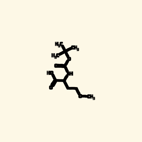 COCCC(NC(=O)OC(C)(C)C)C(=O)O